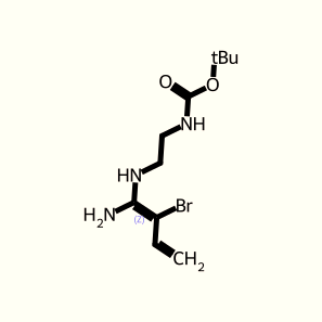 C=C/C(Br)=C(\N)NCCNC(=O)OC(C)(C)C